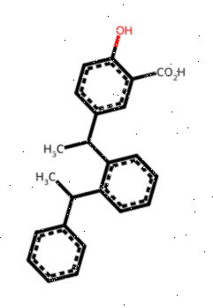 CC(c1ccccc1)c1ccccc1C(C)c1ccc(O)c(C(=O)O)c1